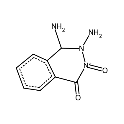 NC1c2ccccc2C(=O)[N+](=O)N1N